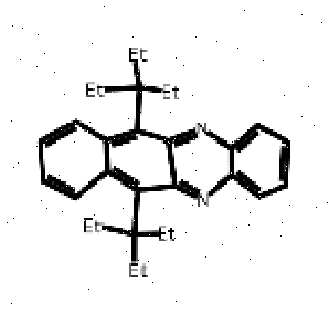 CCC(CC)(CC)c1c2ccccc2c(C(CC)(CC)CC)c2nc3ccccc3nc12